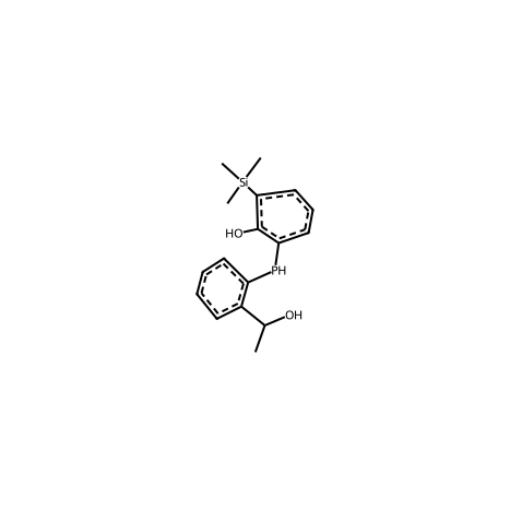 CC(O)c1ccccc1Pc1cccc([Si](C)(C)C)c1O